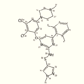 Cc1cccc(C)c1-c1cc(Oc2cc(N3CCN(C)CC3)cc(Cl)c2Cl)nc(NSc2cnn(C)c2)n1